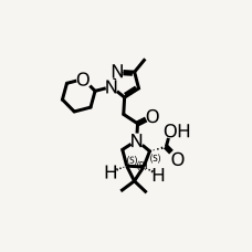 Cc1cc(CC(=O)N2C[C@H]3[C@@H]([C@H]2C(=O)O)C3(C)C)n(C2CCCCO2)n1